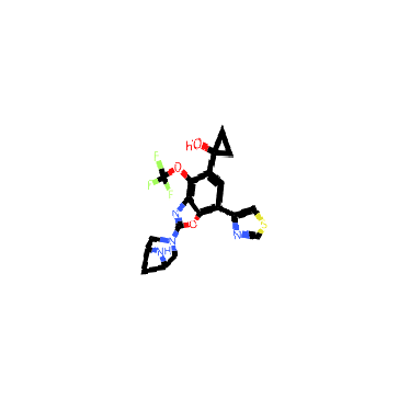 OC1(c2cc(-c3cscn3)c3oc(N4CC5CC(C4)N5)nc3c2OC(F)(F)F)CC1